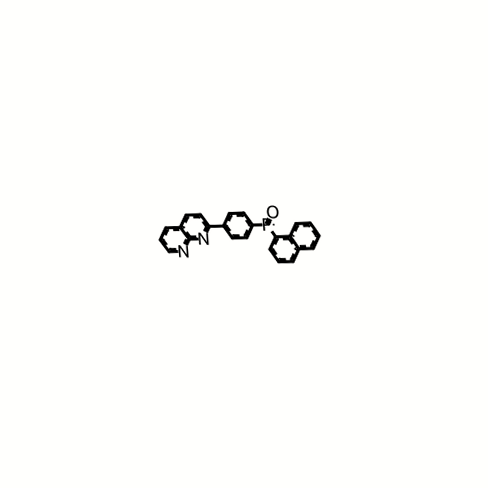 O=[P](c1ccc(-c2ccc3cccnc3n2)cc1)c1cccc2ccccc12